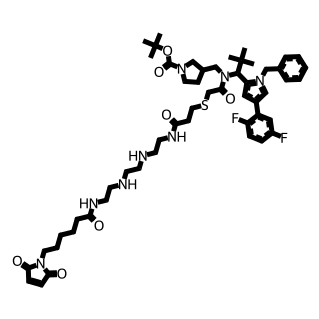 CC(C)(C)OC(=O)N1CCC(CN(C(=O)CSCCC(=O)NCCNCCNCCNC(=O)CCCCCN2C(=O)C=CC2=O)C(c2cc(-c3cc(F)ccc3F)cn2Cc2ccccc2)C(C)(C)C)C1